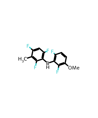 COc1ccc(F)c(Bc2c(F)cc(F)c(C)c2F)c1F